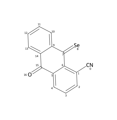 N#Cc1cccc2c1C(=[Se])c1ccccc1C2=O